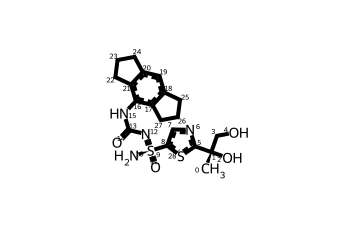 C[C@](O)(CO)c1ncc([S@](N)(=O)=NC(=O)Nc2c3c(cc4c2CCC4)CCC3)s1